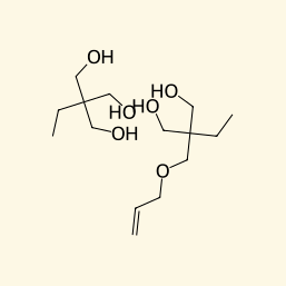 C=CCOCC(CC)(CO)CO.CCC(CO)(CO)CO